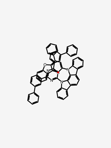 c1ccc(-c2cccc(-c3nc(-c4cccc(-c5ccccc5)c4)nc(-n4c5ccccc5c5ccc6c7ccccc7n(-c7cc(-c8ccccc8)c8oc9ccccc9c8c7)c6c54)n3)c2)cc1